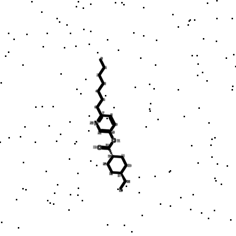 CCCCCCCc1ccc(OC(=O)[C@H]2CC[C@H](CC)CC2)cn1